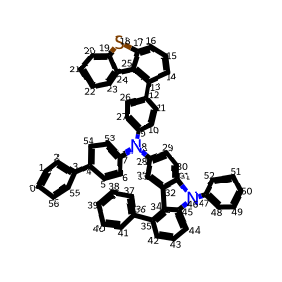 c1ccc(-c2ccc(N(c3ccc(-c4cccc5sc6ccccc6c45)cc3)c3ccc4c(c3)c3c(-c5ccccc5)cccc3n4-c3ccccc3)cc2)cc1